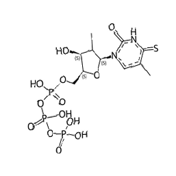 Cc1cn([C@H]2O[C@@H](COP(=O)(O)OP(=O)(O)OP(=O)(O)O)[C@@H](O)C2C)c(=O)[nH]c1=S